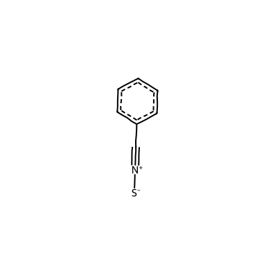 [S-][N+]#Cc1ccccc1